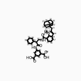 O=C(O)c1cc(NC(=O)C(CNC(=O)c2cccc3c2[NH+]([O-])C(CC24CC5CC(CC(C5)C2)C4)=C3)c2ccccc2)cc(C(=O)O)c1